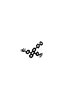 c1ccc(-c2ccc(-c3ccc4c(-c5ccc(-c6cocn6)cc5)c5ccccc5c(-c5ccc(-c6cocn6)cc5)c4c3)cc2)cc1